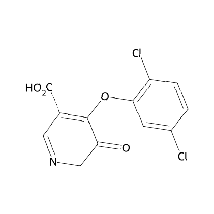 O=C(O)C1=C(Oc2cc(Cl)ccc2Cl)C(=O)CN=C1